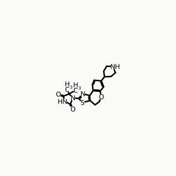 CC1(C)C(=O)NC(=O)N1c1nc2c(s1)CCOc1cc(C3CCNCC3)ccc1-2